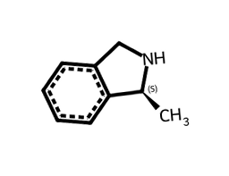 C[C@@H]1NCc2ccccc21